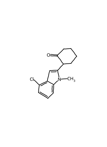 Cn1c(C2CCCCC2=O)cc2c(Cl)cccc21